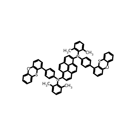 Cc1cccc(C)c1N(c1ccc(-c2cccc3c2Sc2ccccc2O3)cc1)c1ccc2ccc3c(N(c4ccc(-c5cccc6c5Sc5ccccc5O6)cc4)c4c(C)cccc4C)ccc4ccc1c2c43